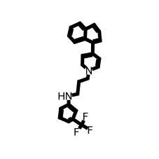 FC(F)(F)c1cccc(NCCCN2C=CC(c3cccc4ccccc34)=CC2)c1